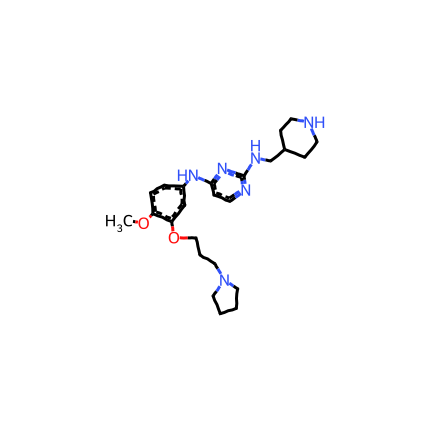 COc1ccc(Nc2ccnc(NCC3CCNCC3)n2)cc1OCCCN1CCCC1